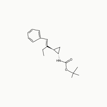 CC/C(=C\c1ccccc1)[C@H]1C[C@@H]1NC(=O)OC(C)(C)C